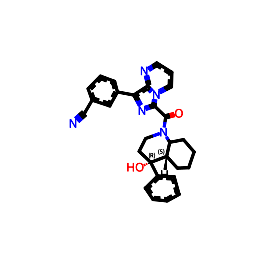 N#Cc1cccc(-c2nc(C(=O)N3CC[C@](O)(c4ccccc4)[C@H]4CCCCC43)n3cccnc23)c1